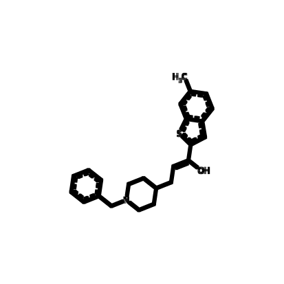 Cc1ccc2cc(C(O)=CCC3CCN(Cc4ccccc4)CC3)sc2c1